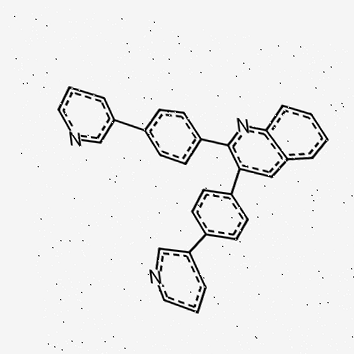 c1cncc(-c2ccc(-c3cc4ccccc4nc3-c3ccc(-c4cccnc4)cc3)cc2)c1